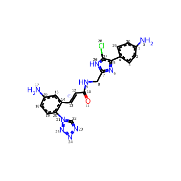 Nc1ccc(-c2nc(CNC(=O)/C=C/c3cc(N)ccc3-n3cnnn3)[nH]c2Cl)cc1